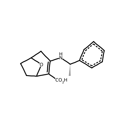 C[C@H](NC1=C(C(=O)O)C2CCC(C1)O2)c1ccccc1